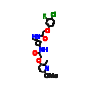 COc1ccc(OCC(=O)NC2=CC(C)(NC(=O)COc3ccc(Cl)c(F)c3)C2)c(C)n1